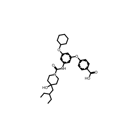 CCC(CC)CC1(O)CCN(C(=O)Nc2cc(Oc3ccc(C(=O)O)cc3)cc(OC3CCCCC3)c2)CC1